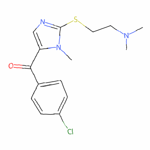 CN(C)CCSc1ncc(C(=O)c2ccc(Cl)cc2)n1C